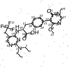 CCN(CC)c1ncc(CC(F)(F)F)c(N[C@@H](Cc2ccc(-c3c(OC)ncn(C)c3=O)cc2)C(=O)O)n1